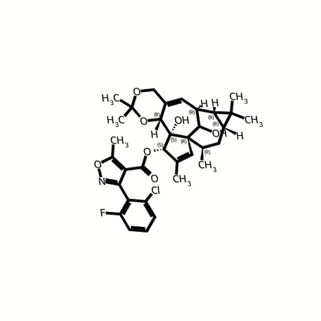 CC1=C[C@]23C(O)[C@@H](C=C4COC(C)(C)O[C@H]4[C@]2(O)[C@H]1OC(=O)c1c(-c2c(F)cccc2Cl)noc1C)[C@H]1[C@@H](C[C@H]3C)C1(C)C